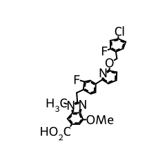 COc1cc(C(=O)O)cc2c1nc(Cc1ccc(-c3cccc(OCc4ccc(Cl)cc4F)n3)cc1F)n2C